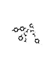 Cc1ccc(OCC(=O)N[C@@H](CC2CC=CS2)C(=O)N[C@@H](Cc2ccc(-c3ccc(Cl)cc3)cc2)C(=O)N[C@@H](Cc2ccccc2)C(=O)NCC(=O)O)cc1